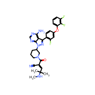 CNC(C)(C)C=C(C#N)C(=O)N1CCCC(n2nc(-c3ccc(Oc4cccc(F)c4F)cc3F)c3c(N)ncnc32)C1